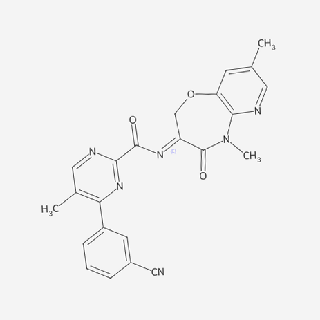 Cc1cnc2c(c1)OC/C(=N\C(=O)c1ncc(C)c(-c3cccc(C#N)c3)n1)C(=O)N2C